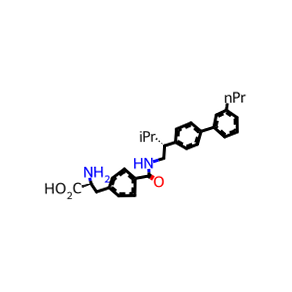 CCCc1cccc(-c2ccc([C@H](CNC(=O)c3ccc(C[C@H](N)C(=O)O)cc3)C(C)C)cc2)c1